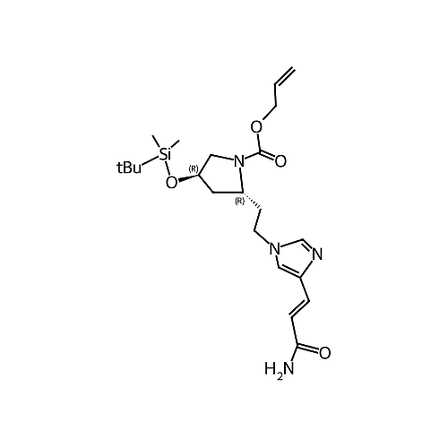 C=CCOC(=O)N1C[C@H](O[Si](C)(C)C(C)(C)C)C[C@H]1CCn1cnc(C=CC(N)=O)c1